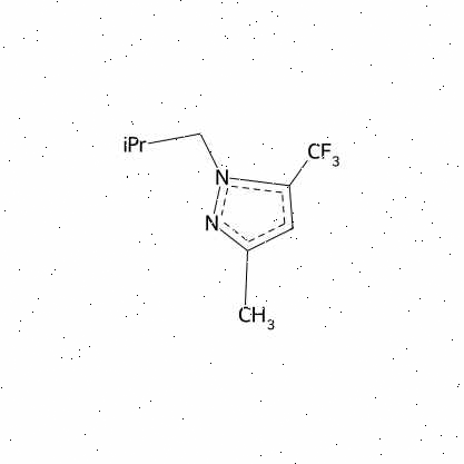 Cc1cc(C(F)(F)F)n(CC(C)C)n1